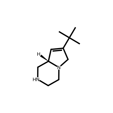 CC(C)(C)C1=C[C@H]2CNCCN2C1